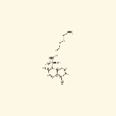 NCCCCCCNS(=O)(=O)c1c(I)ccc2c(Cl)cccc12